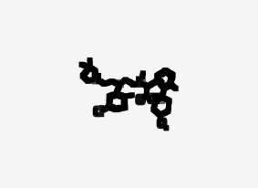 COC1CCC(c2c(C)cccc2C(C(=O)O)N(C)CC[C@H](CCN2CCC(C)(C)C2)c2cc(Cl)ccc2C)CC1